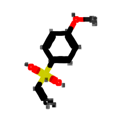 C=CS(=O)(=O)c1ccc(OCC)cc1